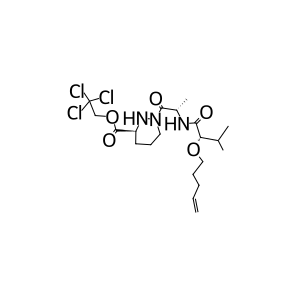 C=CCCCO[C@H](C(=O)N[C@@H](C)C(=O)N1CCC[C@@H](C(=O)OCC(Cl)(Cl)Cl)N1)C(C)C